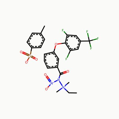 CC[N+](C)(C)N(C(=O)c1cccc(Oc2c(F)cc(C(F)(F)F)cc2F)c1)[N+](=O)[O-].Cc1ccc(S(=O)(=O)[O-])cc1